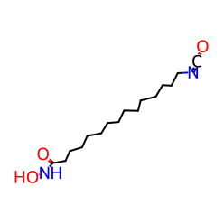 O=C=NCCCCCCCCCCCCCCC(=O)NO